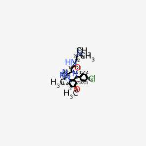 COc1ccc2c(c1)C(c1ccc(Cl)cc1)=NC(CC(=O)NCCN(C)C)c1nnc(C)n1-2